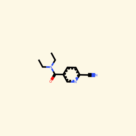 CCN(CC)C(=O)c1ccc(C#N)nc1